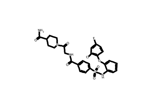 NC(=O)C1CCN(C(=O)CNC(=O)c2ccc(S(=O)(=O)Nc3ccccc3Oc3ccc(F)cc3Cl)cc2)CC1